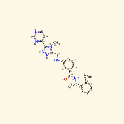 COc1ccccc1C(C#N)NC(=O)c1cccc(NCc2nnc(-c3ccncn3)n2C)c1